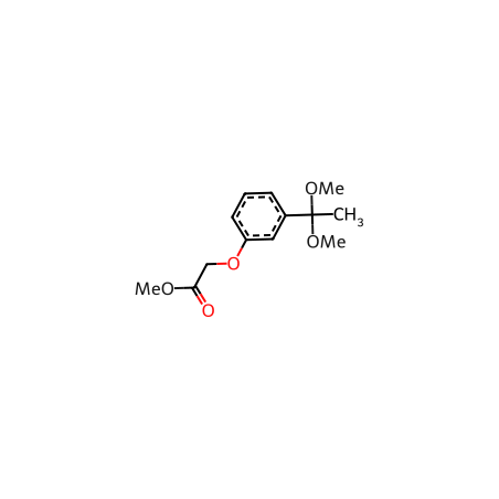 COC(=O)COc1cccc(C(C)(OC)OC)c1